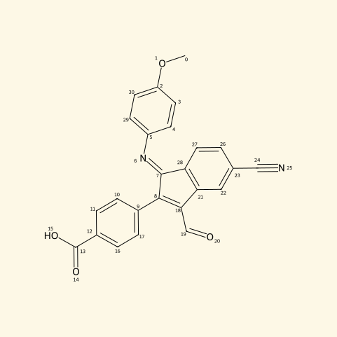 COc1ccc(N=C2C(c3ccc(C(=O)O)cc3)=C(C=O)c3cc(C#N)ccc32)cc1